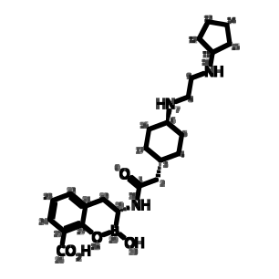 O=C(C[C@H]1CC[C@H](NCCNC2CCCC2)CC1)N[C@H]1Cc2cccc(C(=O)O)c2OB1O